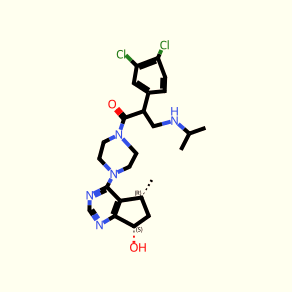 CC(C)NCC(C(=O)N1CCN(c2ncnc3c2[C@H](C)C[C@@H]3O)CC1)c1ccc(Cl)c(Cl)c1